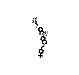 CC(C)(C)c1ccc(CCN2CCc3cc(S(=O)(=O)Nc4ccc(OCCCS(C)(=O)=O)cc4F)ccc3C2)cc1